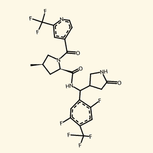 C[C@@H]1C[C@H](C(=O)NC(c2cc(F)c(C(F)(F)F)cc2F)C2CNC(=O)C2)N(C(=O)c2ccnc(C(F)(F)F)c2)C1